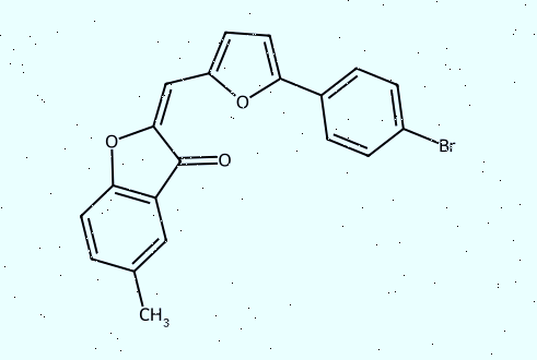 Cc1ccc2c(c1)C(=O)C(=Cc1ccc(-c3ccc(Br)cc3)o1)O2